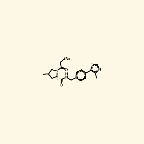 Cc1ncsc1-c1ccc(CNC(=O)[C@@H]2CC(C)CN2C(=O)CC(C)(C)C)cc1